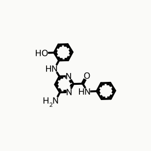 Nc1cc(Nc2ccccc2O)nc(C(=O)Nc2ccccc2)n1